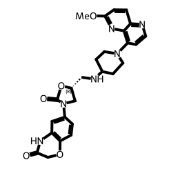 COc1ccc2nccc(N3CCC(NC[C@@H]4CN(c5ccc6c(c5)NC(=O)CO6)C(=O)O4)CC3)c2n1